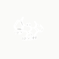 Cc1cccc(C)c1OC(c1c(C)cccc1C)C(CO)(CO)CO